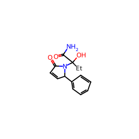 CCC(O)(C(N)=O)N1C(=O)C=CC1c1ccccc1